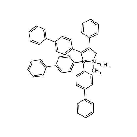 C[P+]1(C)CC(c2ccccc2)=C(c2ccc(-c3ccccc3)cc2)[B-]1(c1ccc(-c2ccccc2)cc1)c1ccc(-c2ccccc2)cc1